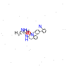 CC(C)(N)CC(=O)NC1CCc2ccccc2N(Cc2ccc(-c3ccccc3C#N)cc2)C1=O